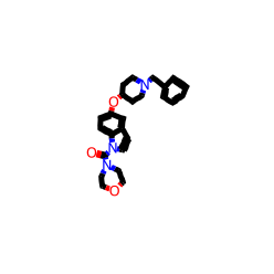 O=C(N1CCOCC1)n1c#cc2cc(OC3CCN(Cc4ccccc4)CC3)ccc21